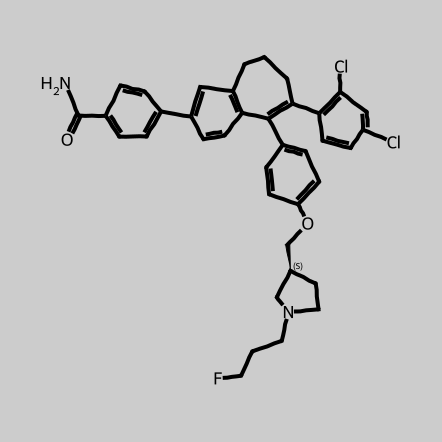 NC(=O)c1ccc(-c2ccc3c(c2)CCCC(c2ccc(Cl)cc2Cl)=C3c2ccc(OC[C@H]3CCN(CCCF)C3)cc2)cc1